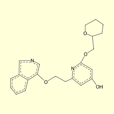 Oc1cc(CCOc2cncc3ccccc23)nc(OCC2CCCCO2)c1